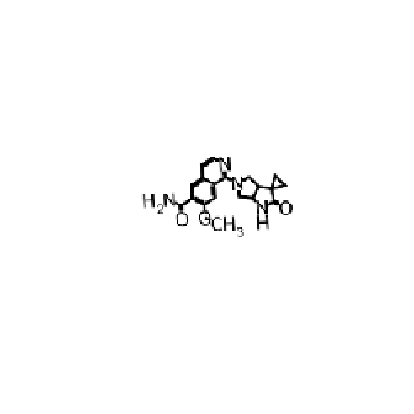 COc1cc2c(N3CC4NC(=O)C5(CC5)C4C3)nccc2cc1C(N)=O